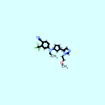 CCN(c1ccc(C#N)c(C(F)(F)F)c1)C1CC=C(c2cncn2CCOC)C1